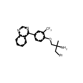 CC(C)CC(C)(N)COc1ccc(-c2ncnc3ccccc23)cc1C(F)(F)F